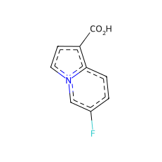 O=C(O)c1ccn2cc(F)ccc12